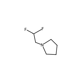 F[C](F)CN1CCCC1